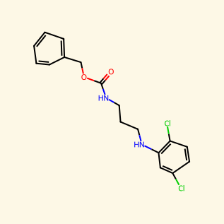 O=C(NCCCNc1cc(Cl)ccc1Cl)OCc1ccccc1